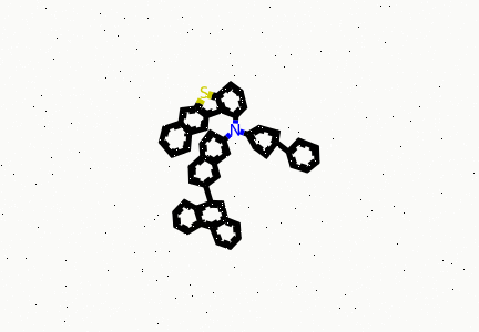 c1ccc(-c2ccc(N(c3ccc4ccc(-c5cc6ccccc6c6ccccc56)cc4c3)c3cccc4sc5cc6ccccc6cc5c34)cc2)cc1